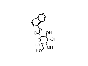 O=C(OC1=C2C=CC=CN2CC=C1)[C@H]1O[C@](O)(CO)[C@H](O)[C@@H](O)[C@@H]1O